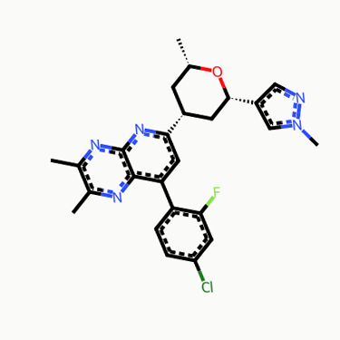 Cc1nc2nc([C@H]3C[C@@H](c4cnn(C)c4)O[C@@H](C)C3)cc(-c3ccc(Cl)cc3F)c2nc1C